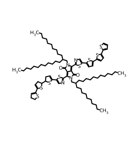 CCCCCCCCCCCCC(CCCCCCCCCC)CN1C(=O)C2=C(c3ncc(-c4ccc(-c5ccc(-c6cccs6)s5)s4)s3)N(CC(CCCCCCCCCC)CCCCCCCCCCCC)C(=O)C2=C1c1ncc(C2=CCC(C3CC=C(C4=CCCS4)S3)S2)s1